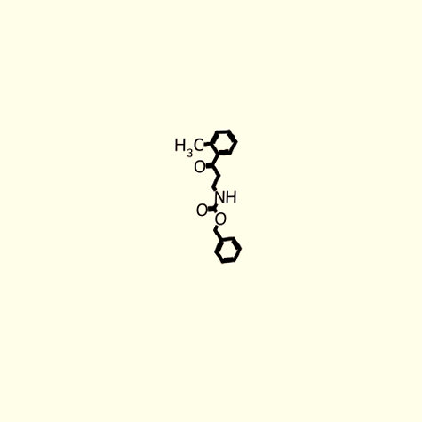 Cc1ccccc1C(=O)CCNC(=O)OCc1ccccc1